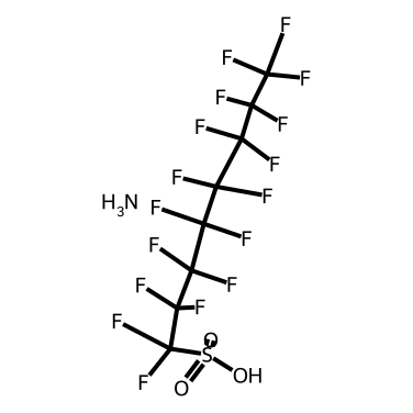 N.O=S(=O)(O)C(F)(F)C(F)(F)C(F)(F)C(F)(F)C(F)(F)C(F)(F)C(F)(F)C(F)(F)F